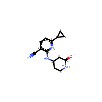 N#Cc1ccc(C2CC2)nc1NC1CCNC(=O)C1